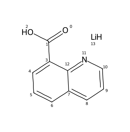 O=C(O)c1cccc2cccnc12.[LiH]